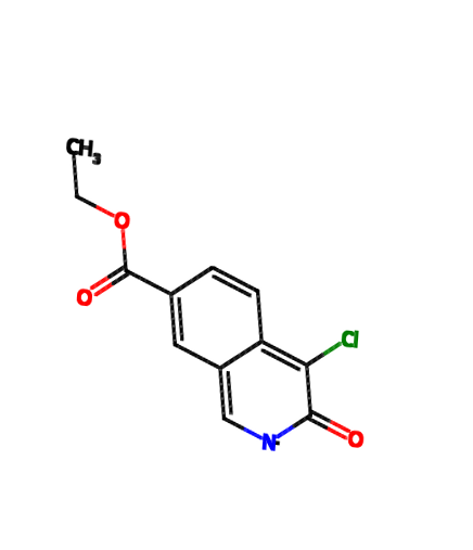 CCOC(=O)c1ccc2c(c1)=C[N]C(=O)C=2Cl